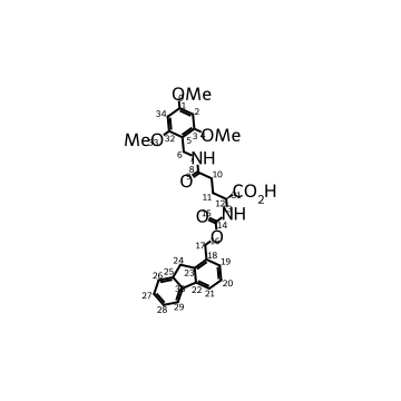 COc1cc(OC)c(CNC(=O)CC[C@H](NC(=O)OCc2cccc3c2Cc2ccccc2-3)C(=O)O)c(OC)c1